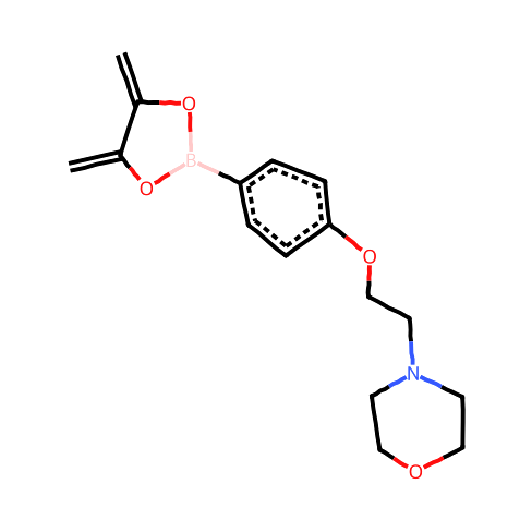 C=C1OB(c2ccc(OCCN3CCOCC3)cc2)OC1=C